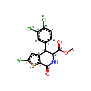 COC(=O)C1NC(=O)c2sc(Br)cc2C1c1ccc(Cl)c(Cl)c1